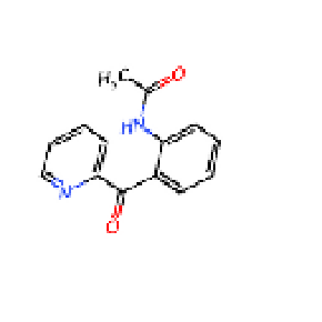 CC(=O)Nc1ccccc1C(=O)c1ccccn1